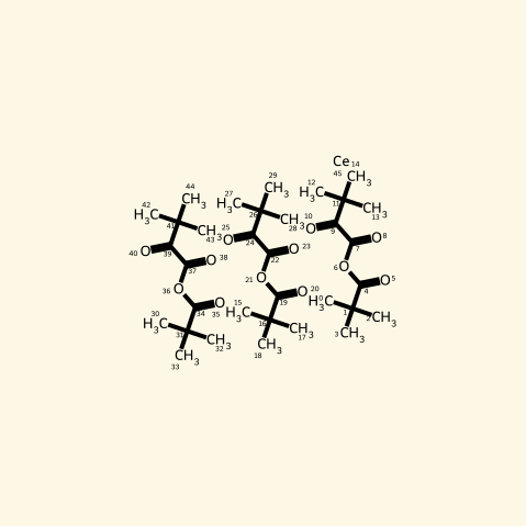 CC(C)(C)C(=O)OC(=O)C(=O)C(C)(C)C.CC(C)(C)C(=O)OC(=O)C(=O)C(C)(C)C.CC(C)(C)C(=O)OC(=O)C(=O)C(C)(C)C.[Ce]